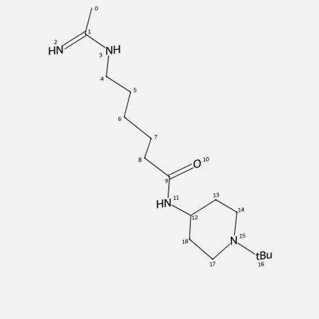 CC(=N)NCCCCCC(=O)NC1CCN(C(C)(C)C)CC1